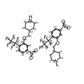 CN1CCC(COc2cc([N+](=O)[O-])ccc2C(F)(F)C(F)(F)F)CC1.O=[N+]([O-])c1ccc(C(F)(F)C(F)(F)F)c(OCC2CCNCC2)c1